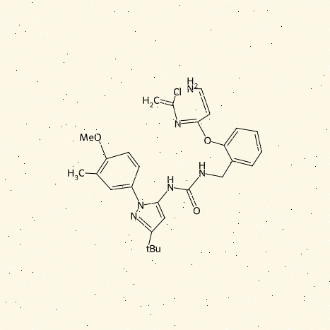 C=C(Cl)/N=C(\C=C/N)Oc1ccccc1CNC(=O)Nc1cc(C(C)(C)C)nn1-c1ccc(OC)c(C)c1